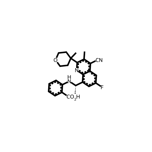 Cc1c(C2(C)CCOCC2)nc2c([C@H](C)Nc3ccccc3C(=O)O)cc(F)cc2c1C#N